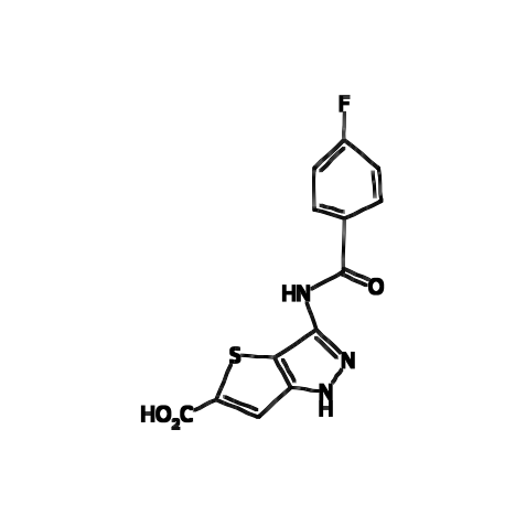 O=C(Nc1n[nH]c2cc(C(=O)O)sc12)c1ccc(F)cc1